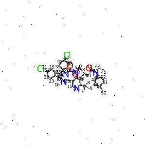 CCOc1cc(C(C)(C)C)ncc1C1=N[C@@](C)(c2ccc(Cl)cc2)[C@@](C)(c2ccc(Cl)cc2)N1C(=O)N1CCC(CC(=O)N(CC)c2ccc(C)cc2)CC1